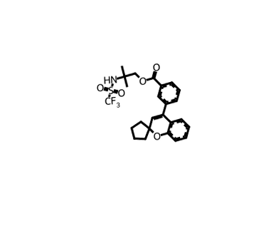 CC(C)(COC(=O)c1cccc(C2=CC3(CCCC3)Oc3ccccc32)c1)NS(=O)(=O)C(F)(F)F